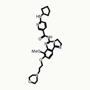 COc1c(OCCCN2CCOCC2)ccc2c1N=C(NC(=O)c1ccc(NC3CCCC3)nc1)N1CCN=C21